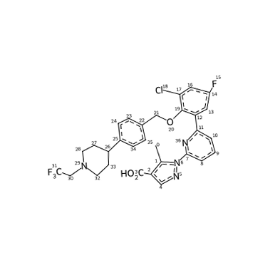 Cc1c(C(=O)O)cnn1-c1cccc(-c2cc(F)cc(Cl)c2OCc2ccc(C3CCN(CC(F)(F)F)CC3)cc2)n1